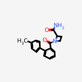 Cc1ccc(-c2ccccc2C(=O)N2CCC2C(N)=O)cc1